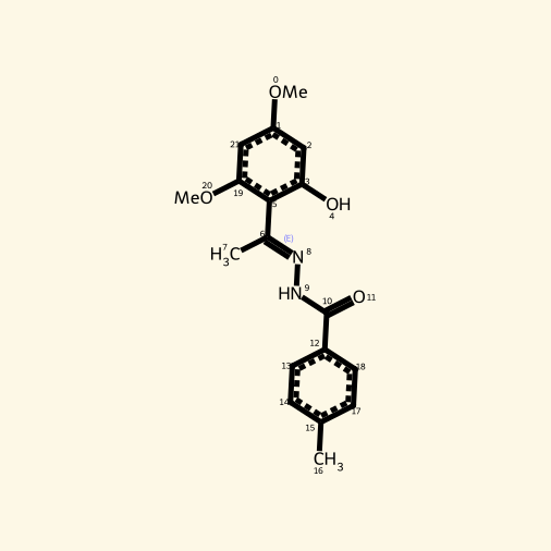 COc1cc(O)c(/C(C)=N/NC(=O)c2ccc(C)cc2)c(OC)c1